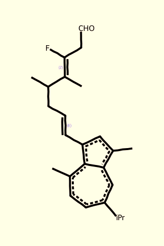 C/C(=C(/F)CC=O)C(C)C/C=C/c1cc(C)c2cc(C(C)C)ccc(C)c1-2